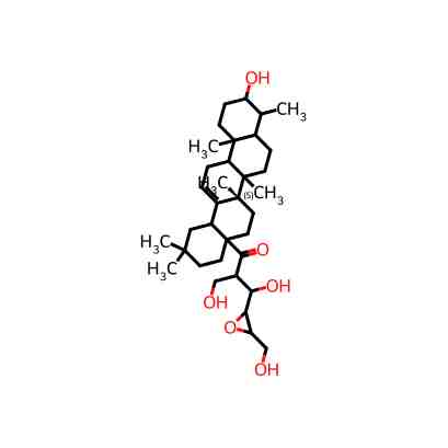 CC1C(O)CCC2(C)C1CCC1(C)C2CC=C2C3CC(C)(C)CCC3(C(=O)C(CO)C(O)C3OC3CO)CC[C@]21C